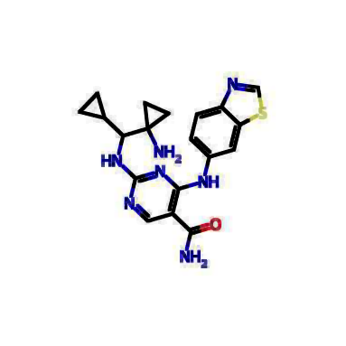 NC(=O)c1cnc(NC(C2CC2)C2(N)CC2)nc1Nc1ccc2ncsc2c1